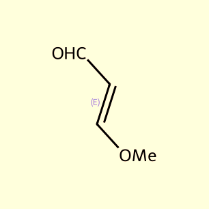 CO/C=C/C=O